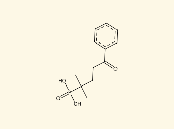 CC(C)(CCC(=O)c1ccccc1)P(=O)(O)O